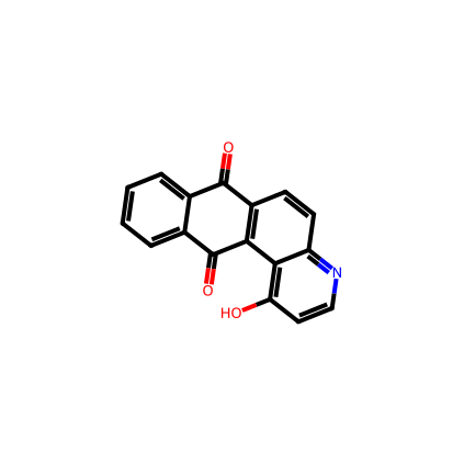 O=C1c2ccccc2C(=O)c2c1ccc1nccc(O)c21